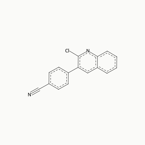 N#Cc1ccc(-c2cc3ccccc3nc2Cl)cc1